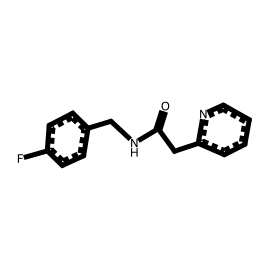 O=C(Cc1ccccn1)NCc1ccc(F)cc1